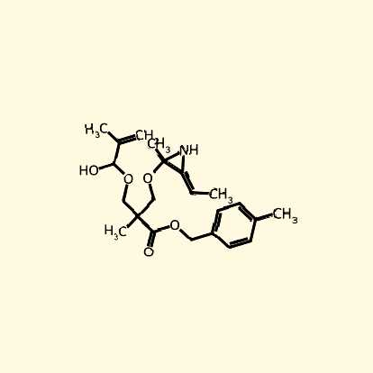 C=C(C)C(O)OCC(C)(COC1(C)NC1=CC)C(=O)OCc1ccc(C)cc1